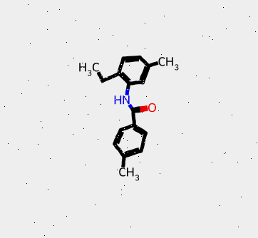 CCc1ccc(C)cc1NC(=O)c1ccc(C)cc1